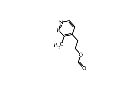 Cc1nnccc1CCOC=O